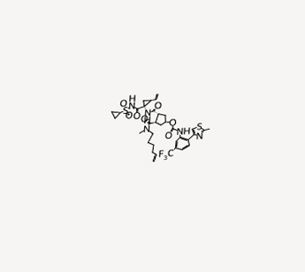 C=CCCCCN(C)C(=O)[C@@H]1C[C@H](OC(=O)Nc2cc(C(F)(F)F)ccc2-c2csc(C)n2)C[C@H]1C(=O)N[C@]1(C(=O)NS(=O)(=O)C2CC2)C[C@H]1C=C